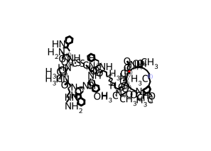 COc1cc2cc(c1Cl)N(C)C(=O)C[C@H](OC(=O)[C@H](C)N(C)C(=O)CCSSCCC(=O)N[C@H](Cc1ccccc1)C(=O)N[C@H]1CSSC[C@@H](C(=O)N[C@@H](Cc3c[nH]c4ccccc34)C(N)=O)NC(=O)[C@H](C(C)C)NC(=O)[C@H](CCCCCN)NC(=O)[C@@H](Cc3c[nH]c4ccccc34)NC(=O)[C@H](Cc3ccc(O)cc3)NC1=O)[C@]1(C)O[C@H]1[C@H](C)[C@@H]1C[C@@](O)(NC(=O)O1)[C@H](OC)CC/C=C(\C)C2